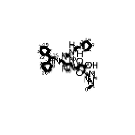 CCn1cnc([C@H]2O[C@@H](n3cnc4c(NCC(c5ccccc5)c5ccccc5)nc(NCCN5CCCCC5)nc43)[C@H](O)[C@@H]2O)n1